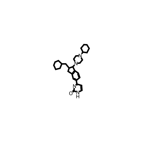 O=c1nc(-c2ccc3c(c2)CC(CC2CCCCC2)C3N2CCN(C3CCCCC3)CC2)cc[nH]1